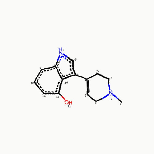 CN1CC=C(c2c[nH]c3cccc(O)c23)CC1